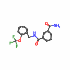 NC(=O)c1cccc(C(=O)NCc2ccccc2OC(F)(F)F)c1